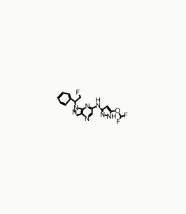 FCC(c1ccccc1)n1ncc2ncc(Nc3cc(OC(F)F)[nH]n3)nc21